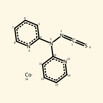 S=C=NN(c1ccccn1)c1ccccn1.[Co]